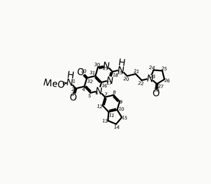 CONC(=O)c1cn(-c2ccc3c(c2)CCC3)c2nc(NCCCN3CCCC3=O)ncc2c1=O